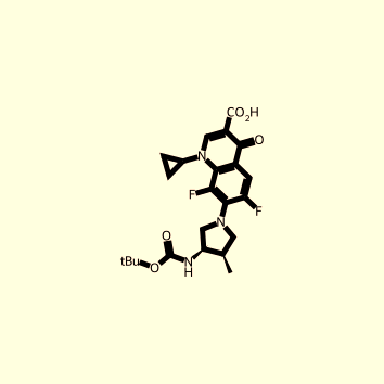 C[C@@H]1CN(c2c(F)cc3c(=O)c(C(=O)O)cn(C4CC4)c3c2F)C[C@@H]1NC(=O)OC(C)(C)C